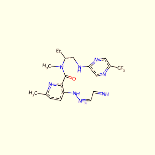 CCC(CNc1cnc(C(F)(F)F)cn1)N(C)C(=O)c1nc(C)ccc1N/N=C\C=N